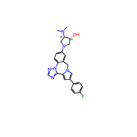 CN(C)[C@@H]1CN(c2ccc3c(c2)Cn2cc(-c4ccc(F)cc4)cc2-c2ncnn2-3)C[C@H]1O